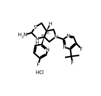 CC(C)(F)c1nc(N2C[C@H]3CSC(N)N[C@@]3(c3ccc(F)cn3)C2)ncc1F.Cl